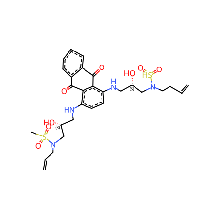 C=CCCN(C[C@@H](O)CNc1ccc(NC[C@@H](O)CN(CC=C)S(C)(=O)=O)c2c1C(=O)c1ccccc1C2=O)[SH](=O)=O